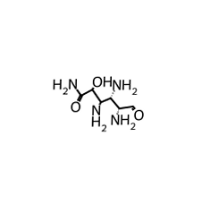 NC(=O)[C@@H](O)[C@H](N)[C@H](N)[C@@H](N)C=O